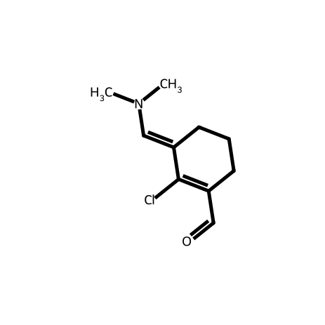 CN(C)C=C1CCCC(C=O)=C1Cl